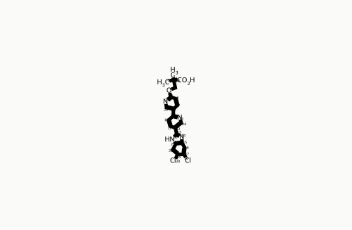 CC(C)(COc1ccc(-c2ccc(-c3nc4cc(Cl)c(Cl)cc4[nH]3)cn2)cn1)C(=O)O